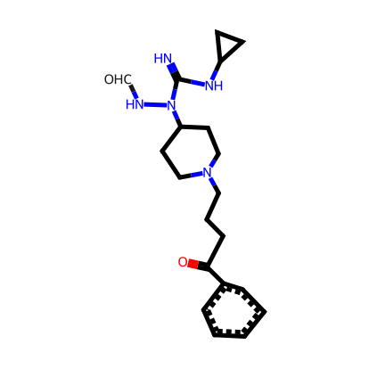 N=C(NC1CC1)N(NC=O)C1CCN(CCCC(=O)c2ccccc2)CC1